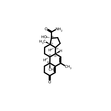 CC1=C[C@@H]2[C@H](CC[C@@]3(C)[C@H]2CC[C@]3(O)C(N)=O)[C@@]2(C)CCC(=O)C=C12